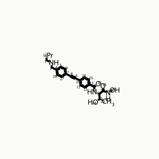 CC(C)CNCc1ccc(C#Cc2ccc(C(=O)N[C@H](C(=O)NO)[C@@H](C)O)cc2)cc1